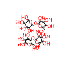 OC[C@H]1O[C@@H](O[C@H]2[C@H](O)[C@@H](O)[C@H](O)O[C@@H]2CO)[C@H](O)[C@@H](O)[C@@H]1O.OC[C@H]1O[C@H](OC[C@H]2O[C@@H](O)[C@H](O)[C@@H](O)[C@@H]2O)[C@H](O)[C@@H](O)[C@H]1O